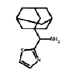 NC(c1nccs1)C12CC3CC(CC(C3)C1)C2